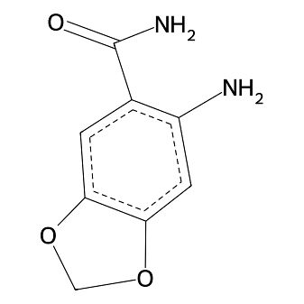 NC(=O)c1cc2c(cc1N)OCO2